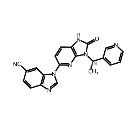 C[C@H](c1cccnc1)n1c(=O)[nH]c2ccc(-n3cnc4ccc(C#N)cc43)nc21